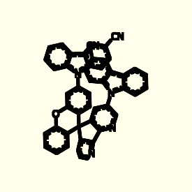 N#Cc1ccc2c(c1)c1ccccc1n2-c1ccc2c(c1)Oc1ccccc1C21c2cccnc2-c2ncc(-n3c4ccccc4c4cc(C#N)ccc43)cc21